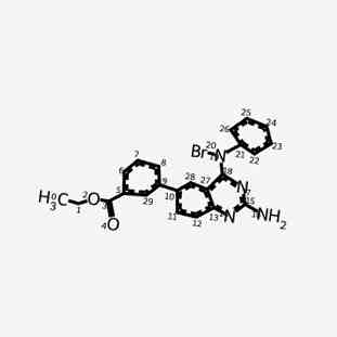 CCOC(=O)c1cccc(-c2ccc3nc(N)nc(N(Br)c4ccccc4)c3c2)c1